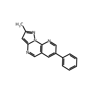 Cc1cc2ncc3cc(-c4ccccc4)cnc3n2n1